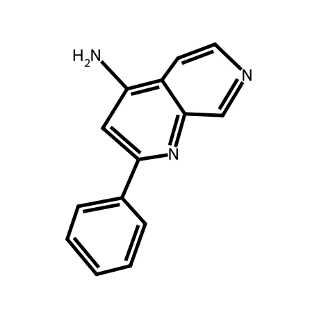 Nc1cc(-c2ccccc2)nc2cnccc12